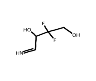 N=CC(O)C(F)(F)CO